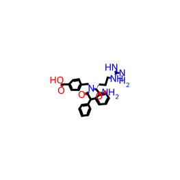 N=C(N)NCCC[C@H](C(N)=O)N(Cc1ccc(C(=O)O)cc1)C(=O)C(c1ccccc1)c1ccccc1